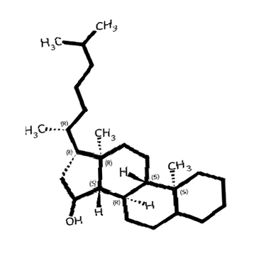 CC(C)CCC[C@@H](C)[C@H]1CC(O)[C@H]2[C@@H]3CCC4CCCC[C@]4(C)[C@H]3CC[C@]12C